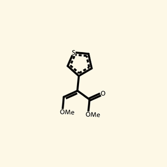 COC=C(C(=O)OC)c1ccsc1